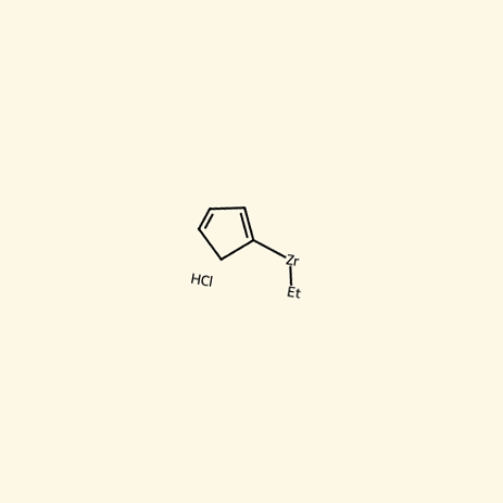 C[CH2][Zr][C]1=CC=CC1.Cl